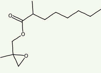 CCCCCCC(C)C(=O)OCC1(C)CO1